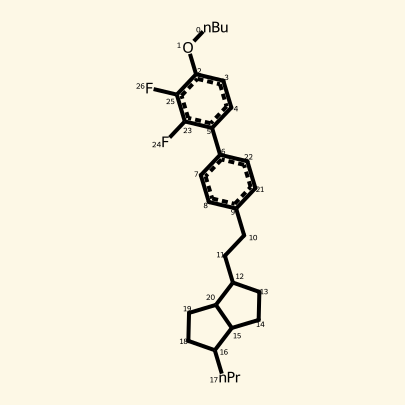 CCCCOc1ccc(-c2ccc(CCC3CCC4C(CCC)CCC34)cc2)c(F)c1F